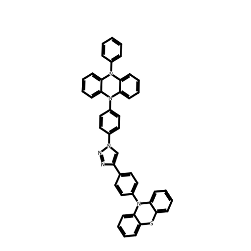 c1ccc(N2c3ccccc3N(c3ccc(-n4cc(-c5ccc(N6c7ccccc7Sc7ccccc76)cc5)nn4)cc3)c3ccccc32)cc1